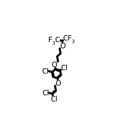 FC(F)(F)C(OCCCCOc1c(Cl)cc(OCC=C(Cl)Cl)cc1Cl)C(F)(F)F